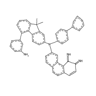 CC1(C)c2cc(N(c3ccc(-c4ccccc4)cc3)c3ccc4ccc5c(c4c3)C(=N)C(=N)C=C5)ccc2-c2c(-c3cccc(N)c3)cccc21